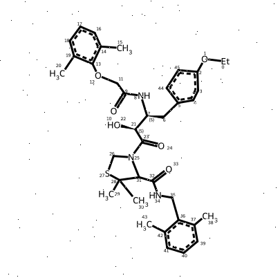 CCOc1ccc(C[C@H](NC(=O)COc2c(C)cccc2C)[C@H](O)C(=O)N2CSC(C)(C)C2C(=O)NCc2c(C)cccc2C)cc1